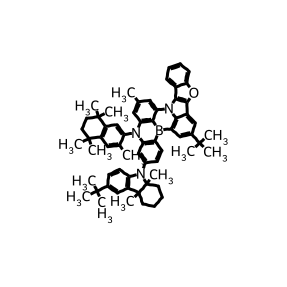 Cc1cc2c3c(c1)-n1c4c(cc(C(C)(C)C)cc4c4oc5ccccc5c41)B3c1ccc(N3c4ccc(C(C)(C)C)cc4C4(C)CCCCC34C)cc1N2c1cc2c(cc1C)C(C)(C)CCC2(C)C